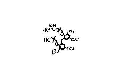 CC(C)(CO)COc1c(Cc2cc(C(C)(C)C)cc(C(C)(C)C)c2OCC(C)(C)COP(O)O)cc(C(C)(C)C)cc1C(C)(C)C